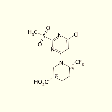 CS(=O)(=O)c1nc(Cl)cc(N2C[C@@H](C(=O)O)CC[C@H]2C(F)(F)F)n1